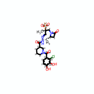 C[C@@H]1CC(=O)N1C[C@](C)(/C=N/NC(=O)C1CCCN(C(=O)c2ccc(O)c(O)c2Cl)C1)[SH](=O)=O